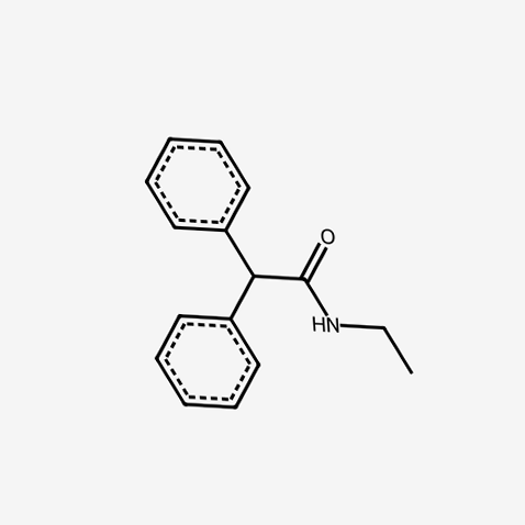 CCNC(=O)C(c1ccccc1)c1ccccc1